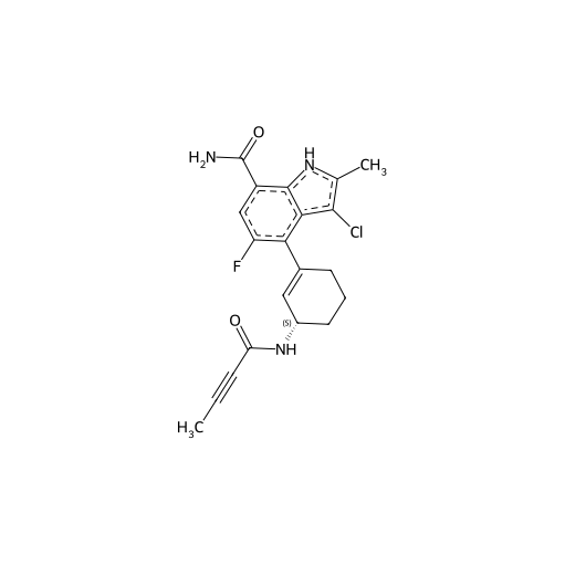 CC#CC(=O)N[C@@H]1C=C(c2c(F)cc(C(N)=O)c3[nH]c(C)c(Cl)c23)CCC1